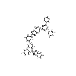 c1ccc(-c2nc(-c3ccccc3)nc(-c3ccc4oc(-c5cccc(-c6ccc7c(c6)c6ccccc6n7-c6nc7ccccc7o6)c5)nc4c3)n2)cc1